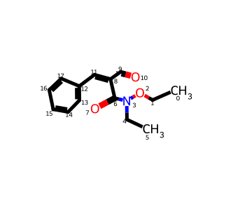 CCON(CC)C(=O)C([C]=O)=Cc1ccccc1